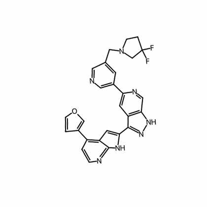 FC1(F)CCN(Cc2cncc(-c3cc4c(-c5cc6c(-c7ccoc7)ccnc6[nH]5)n[nH]c4cn3)c2)C1